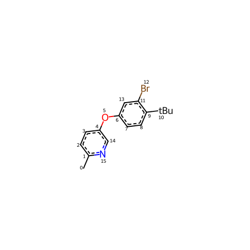 Cc1ccc(Oc2ccc(C(C)(C)C)c(Br)c2)cn1